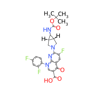 CC(C)(C)OC(=O)N[C@H]1[C@@H]2CN(c3nc4c(cc3F)c(=O)c(C(=O)O)cn4-c3ccc(F)cc3F)C[C@@H]21